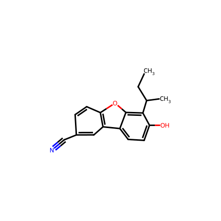 CCC(C)c1c(O)ccc2c1oc1ccc(C#N)cc12